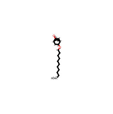 [CH2]CCCCCCCCCCCCCCCCCCCOC1CC2CCC1CC2[O]